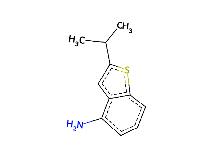 CC(C)c1cc2c(N)cccc2s1